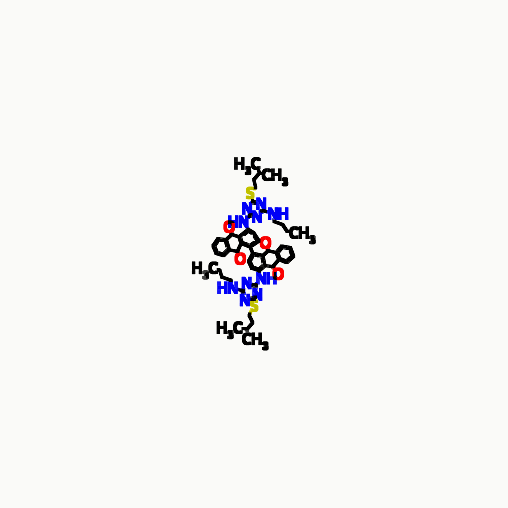 CCCCNc1nc(Nc2ccc(-c3ccc(Nc4nc(NCCCC)nc(SCCC(C)C)n4)c4c3C(=O)c3ccccc3C4=O)c3c2C(=O)c2ccccc2C3=O)nc(SCCC(C)C)n1